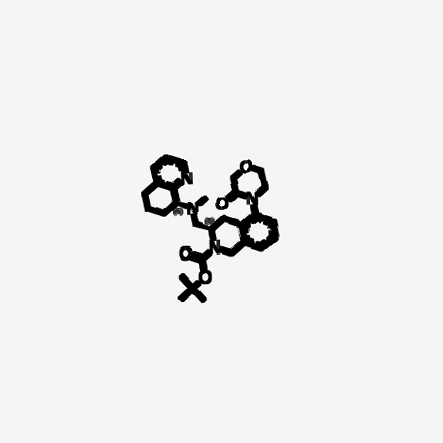 CN(C[C@H]1Cc2c(cccc2N2CCOCC2=O)CN1C(=O)OC(C)(C)C)[C@H]1CCCc2cccnc21